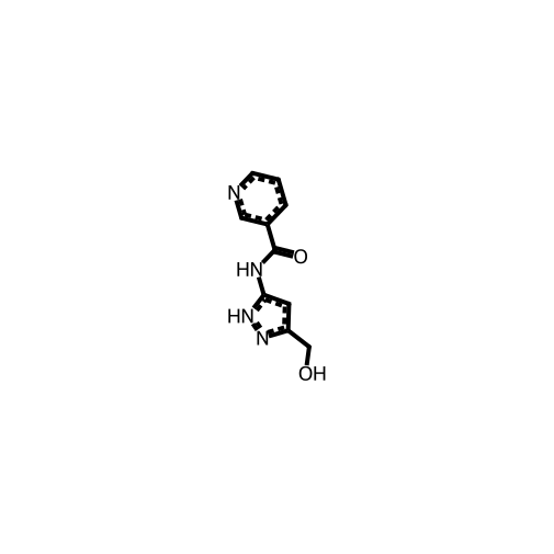 O=C(Nc1cc(CO)n[nH]1)c1cccnc1